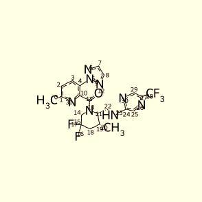 Cc1ccc(-n2nccn2)c(C(=O)N2CC(F)(F)C[C@@H](C)[C@H]2CNc2cnc(C(F)(F)F)cn2)n1